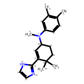 CN(c1ccc(C#N)c(C(F)(F)F)c1)C1C=C(c2ncc[nH]2)C(C)(C)CC1